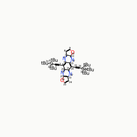 CC(C)(C)[Si](C#Cc1c2nc3ccoc3nc2c(C#C[Si](C(C)(C)C)(C(C)(C)C)C(C)(C)C)c2nc3ccoc3nc12)(C(C)(C)C)C(C)(C)C